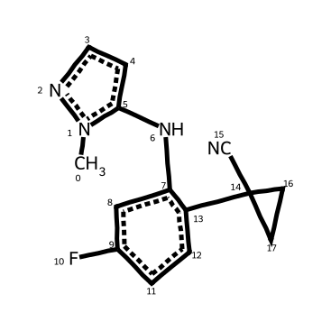 Cn1nccc1Nc1cc(F)ccc1C1(C#N)CC1